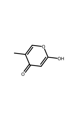 Cc1coc(O)cc1=O